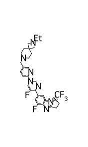 CCN1CC2(CCN(Cc3ccc(N4C=C(F)C(c5cc(F)c6nc7n(c6c5)[C@H](C(F)(F)F)CC7)=NC4)nc3)CC2)C1